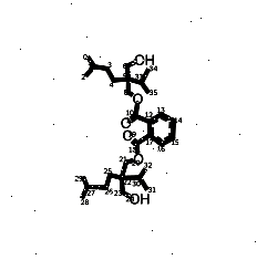 CC(C)CCC(CO)(COC(=O)c1ccccc1C(=O)OCC(CO)(CCC(C)C)C(C)C)C(C)C